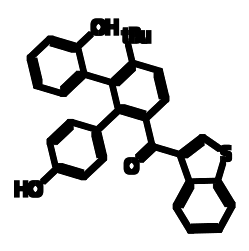 CC(C)(C)c1ccc(C(=O)c2csc3ccccc23)c(-c2ccc(O)cc2)c1-c1ccccc1O